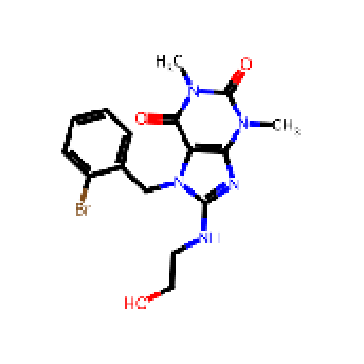 Cn1c(=O)c2c(nc(NCCO)n2Cc2ccccc2Br)n(C)c1=O